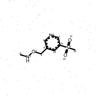 CNOCc1cncc(S(C)(=O)=O)c1